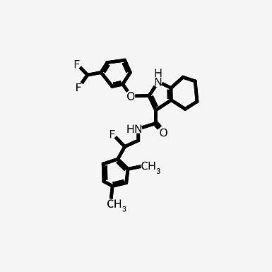 Cc1ccc(C(F)CNC(=O)c2c(Oc3cccc(C(F)F)c3)[nH]c3c2CCCC3)c(C)c1